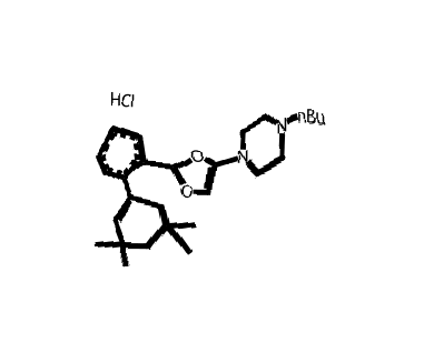 CCCCN1CCN(C2=COC(c3ccccc3C3=CC(C)(C)CC(C)(C)C3)O2)CC1.Cl